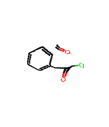 C=O.O=C(Cl)c1ccccc1